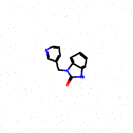 O=c1[nH]c2ccccc2n1Cc1cccnc1